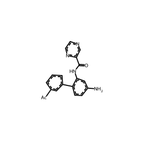 CC(=O)c1cccc(-c2ccc(N)cc2NC(=O)c2cnccn2)c1